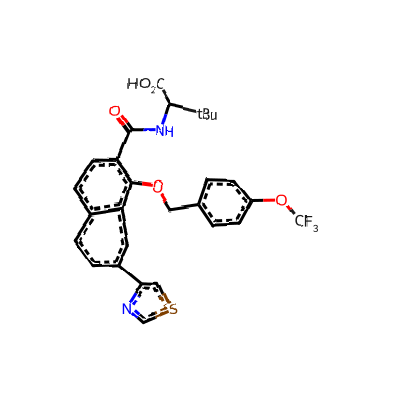 CC(C)(C)C(NC(=O)c1ccc2ccc(-c3cscn3)cc2c1OCc1ccc(OC(F)(F)F)cc1)C(=O)O